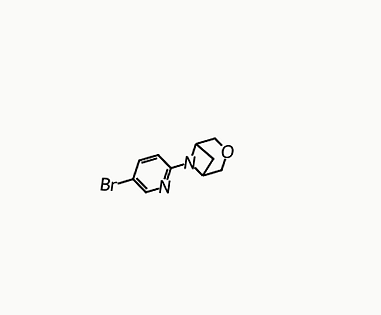 Brc1ccc(N2C3COCC2C3)nc1